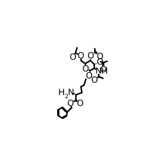 CC(=O)NC1[C@@H](OCCCC[C@H](N)C(=O)OCc2ccccc2)OC(COC(C)=O)[C@H](OC(C)=O)[C@@H]1OC(C)=O